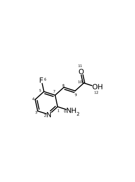 Nc1nccc(F)c1/C=C/C(=O)O